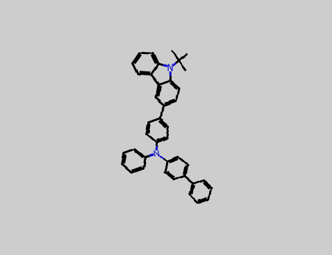 CC(C)(C)n1c2ccccc2c2cc(-c3ccc(N(c4ccccc4)c4ccc(-c5ccccc5)cc4)cc3)ccc21